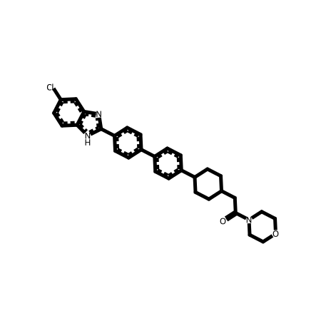 O=C(CC1CCC(c2ccc(-c3ccc(-c4nc5cc(Cl)ccc5[nH]4)cc3)cc2)CC1)N1CCOCC1